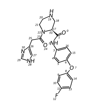 O=C(Nc1ccc(Oc2ccc(F)cc2)cc1)[C@@H]1CNCCN1C(=O)Cc1c[nH]cn1